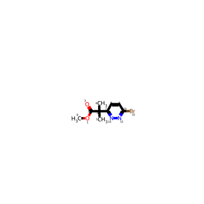 COC(=O)C(C)(C)c1ccc(Br)nn1